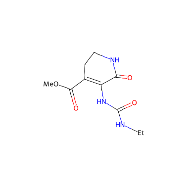 CCNC(=O)NC1=C(C(=O)OC)CCNC1=O